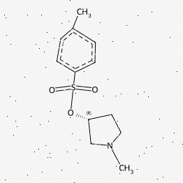 Cc1ccc(S(=O)(=O)O[C@@H]2CCN(C)C2)cc1